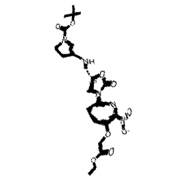 CCOC(=O)COc1ccc(N2C[C@H](CNC3CCN(C(=O)OC(C)(C)C)C3)OC2=O)nc1[N+](=O)[O-]